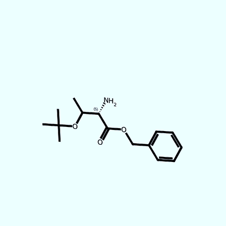 CC(OC(C)(C)C)[C@H](N)C(=O)OCc1ccccc1